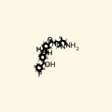 Cc1cc(N)nc(C)c1CNC(=O)c1ccc2c(c1)[C@@H]1O[C@H]2c2ccc(C(O)c3cccc(F)c3)cc21